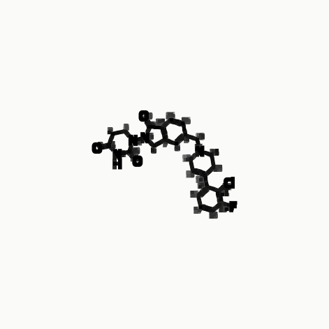 O=C1CCN(N2Cc3cc(CN4CC=C(c5cccc(F)c5Cl)CC4)ccc3C2=O)C(=O)N1